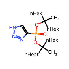 CCCCCCCC(C)(CCCCCC)OP(=O)(OC(C)(CCCCCC)CCCCCC)c1c[nH]nn1